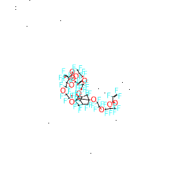 O=C(OC(F)(C(F)(F)F)C(F)(F)OC(F)(F)C(F)(F)OC12C(F)(F)C3(F)C(F)(F)C(OC(F)(F)C(F)(F)OC(F)(F)C(F)(OC(=O)C(F)=C(F)F)C(F)(F)F)(C1(F)F)C(F)(F)C(OC(F)(F)C(F)(F)OC(F)(F)C(F)(OC(=O)C(F)=C(F)F)C(F)(F)F)(C3(F)F)C2(F)F)C(F)=C(F)F